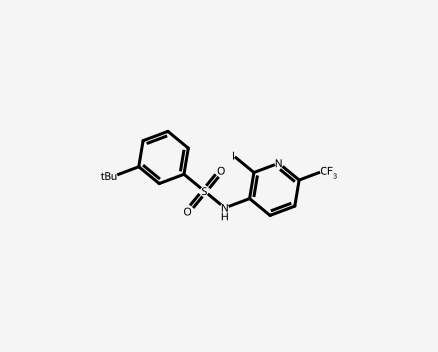 CC(C)(C)c1cccc(S(=O)(=O)Nc2ccc(C(F)(F)F)nc2I)c1